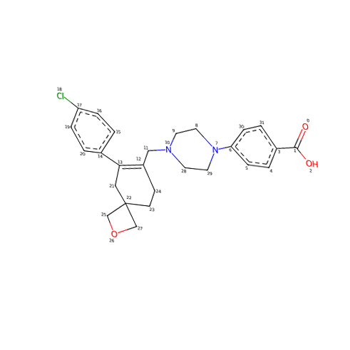 O=C(O)c1ccc(N2CCN(CC3=C(c4ccc(Cl)cc4)CC4(CC3)COC4)CC2)cc1